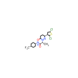 CC(C(=O)Nc1ccc(C(F)(F)F)cc1)n1nc(-c2cc(Cl)sc2Cl)ccc1=O